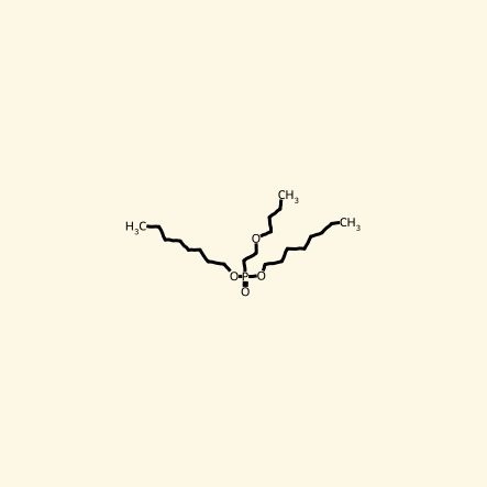 CCCCCCCCOP(=O)(CCOCCCC)OCCCCCCCC